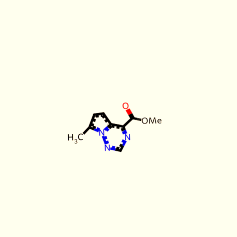 COC(=O)c1ncnn2c(C)ccc12